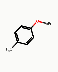 CCCOc1ccc(C(F)(F)F)cc1